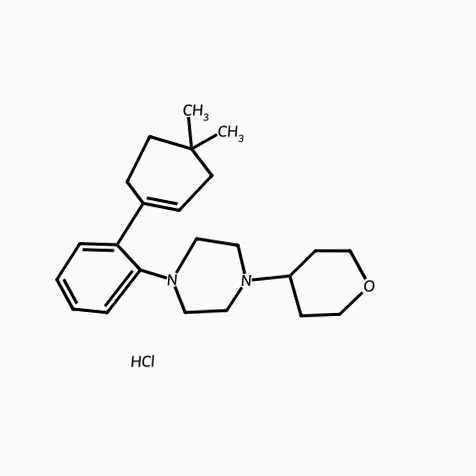 CC1(C)CC=C(c2ccccc2N2CCN(C3CCOCC3)CC2)CC1.Cl